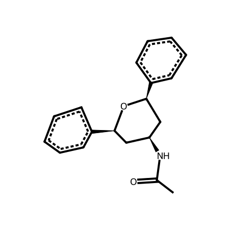 CC(=O)N[C@H]1C[C@@H](c2ccccc2)O[C@@H](c2ccccc2)C1